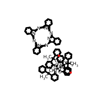 CC(C)(c1ccccc1)c1ccccc1[O][Pd]([O]c1ccccc1C(C)(C)c1ccccc1)([O]c1ccccc1C(C)(C)c1ccccc1)[O]c1ccccc1C(C)(C)c1ccccc1.c1ccc2c(c1)-c1nc-2nc2[nH]c(nc3nc(nc4[nH]c(n1)c1ccccc41)-c1ccccc1-3)c1ccccc21